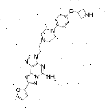 Nc1nc2c(ncn2CCN2CCN(c3ccc(OC4CNC4)cc3)CC2)c2nc(-c3ccco3)nn12